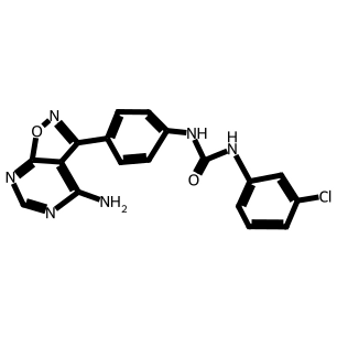 Nc1ncnc2onc(-c3ccc(NC(=O)Nc4cccc(Cl)c4)cc3)c12